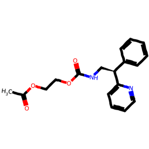 CC(=O)OCCOC(=O)NC[C@@H](c1ccccc1)c1ccccn1